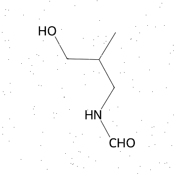 CC(CO)CNC=O